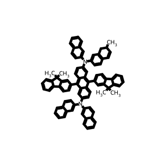 CC1C=Cc2ccc(N(c3ccc4ccccc4c3)c3ccc4c(-c5ccc6c(c5)C(C)(C)c5ccccc5-6)c5cc(N(c6ccc7ccccc7c6)c6ccc7ccccc7c6)ccc5c(-c5ccc6c(c5)C(C)(C)c5ccccc5-6)c4c3)cc2C1